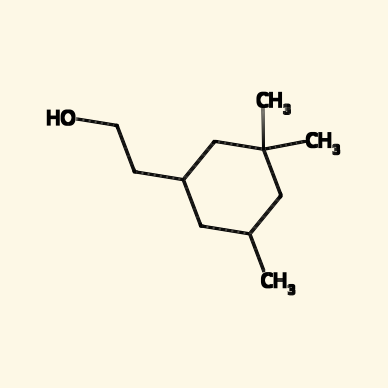 CC1CC(CCO)CC(C)(C)C1